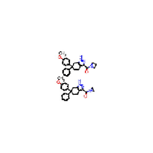 COc1ccc(C2(c3ccccc3)C=Cc3c(C(=O)N4CC4)n[nH]c3C2)cc1.COc1ccc(C2(c3ccccc3)C=Cc3c(C(=O)N4CCC4)n[nH]c3C2)cc1